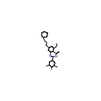 C=C1NC(c2cc(C)c(C)c(C)c2)=Nc2cc(CCCc3ccccc3)cc(CC)c21